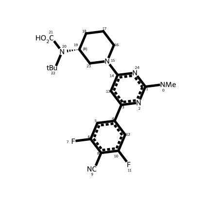 CNc1nc(-c2cc(F)c(C#N)c(F)c2)cc(N2CCC[C@@H](N(C(=O)O)C(C)(C)C)C2)n1